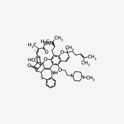 COC(=O)/C(C)=C\CC1(O)C(=O)C2CC(C(C)C)C13Oc1c(CC=C(C)C)c4c(c(OCCN5CCN(C)CC5)c1C1=C3C2Sc2ccccc2N1)C=CC(C)(CCC=C(C)C)O4